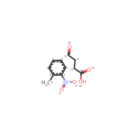 Cc1ccccc1[N+](=O)[O-].O=CCCC(=O)O